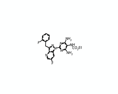 CCOC(=O)Nc1c(N)nc(-n2nc(Cc3ccccc3F)c3ncc(F)cc32)nc1N